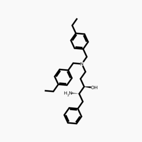 CCc1ccc(CN(CC[C@@H](O)[C@@H](N)Cc2ccccc2)Cc2ccc(CC)cc2)cc1